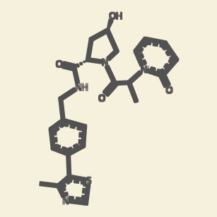 Cc1ncsc1-c1ccc(CNC(=O)[C@@H]2C[C@@H](O)CN2C(=O)C(C)n2ccccc2=O)cc1